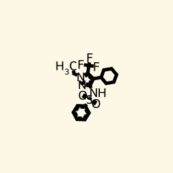 CCn1nc(NS(=O)(=O)c2ccccc2)c(C2CCCCC2)c1C(F)(F)F